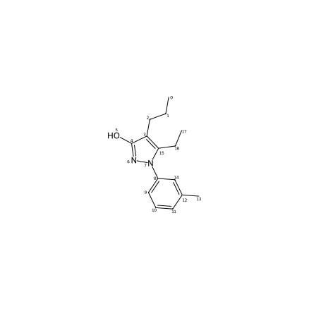 CCCc1c(O)nn(-c2cccc(C)c2)c1CC